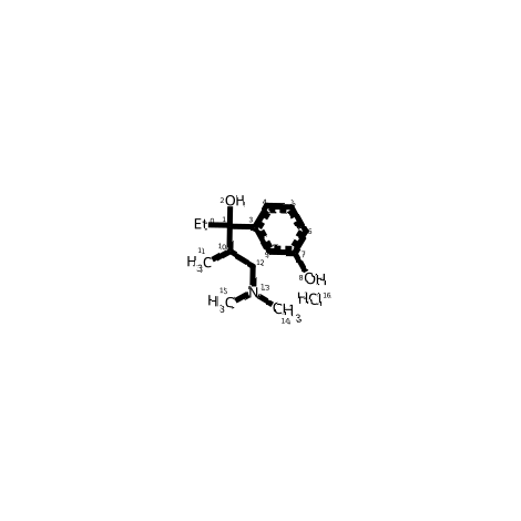 CCC(O)(c1cccc(O)c1)C(C)CN(C)C.Cl